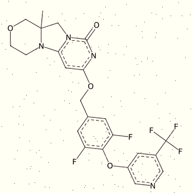 CC12COCCN1c1cc(OCc3cc(F)c(Oc4cncc(C(F)(F)F)c4)c(F)c3)nc(=O)n1C2